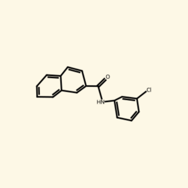 O=C(Nc1cccc(Cl)c1)c1ccc2ccccc2c1